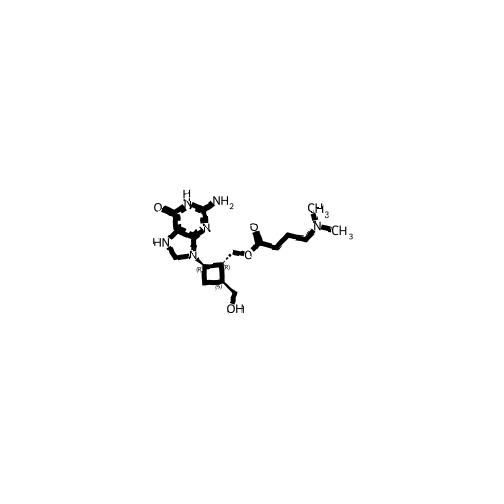 CN(C)CCCC(=O)OC[C@@H]1[C@@H](CO)C[C@H]1N1CNc2c1nc(N)[nH]c2=O